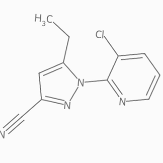 CCc1cc(C#N)nn1-c1ncccc1Cl